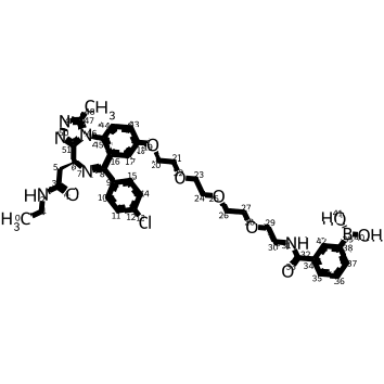 CCNC(=O)C[C@@H]1N=C(c2ccc(Cl)cc2)c2cc(OCCOCCOCCOCCNC(=O)c3cccc(B(O)O)c3)ccc2-n2c(C)nnc21